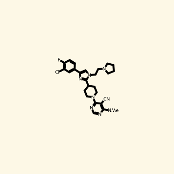 CNc1ncnc(N2CCC(c3nc(-c4ccc(F)c(Cl)c4)cn3CCN3CCCC3)CC2)c1C#N